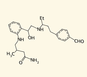 CCC(CCc1ccc(C=O)cc1)NCC(O)c1ccccc1NCC(C)CC(N)=O